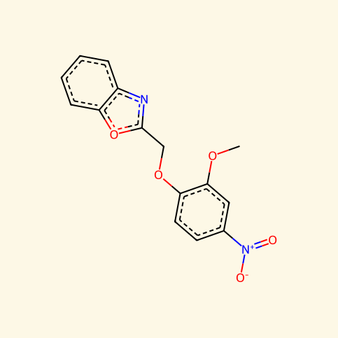 COc1cc([N+](=O)[O-])ccc1OCc1nc2ccccc2o1